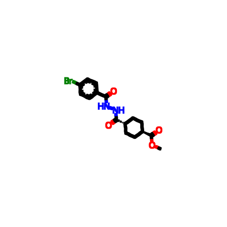 COC(=O)[C@H]1CC[C@H](C(=O)NNC(=O)c2ccc(Br)cc2)CC1